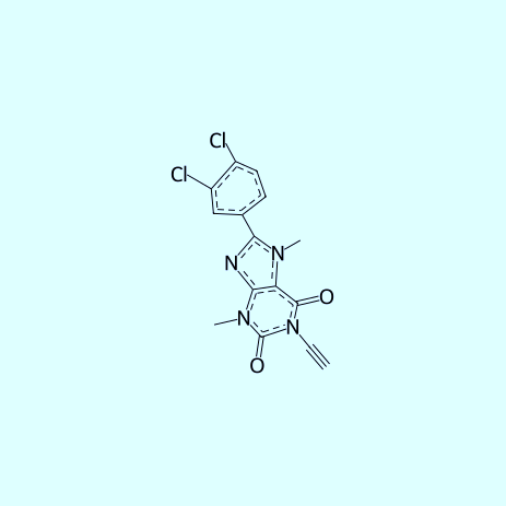 C#Cn1c(=O)c2c(nc(-c3ccc(Cl)c(Cl)c3)n2C)n(C)c1=O